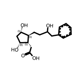 O=C(O)C[C@H]1[C@H](CCC(O)Cc2ccccc2)[C@@H](O)C[C@H]1O